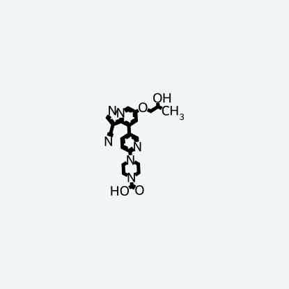 CC(O)COc1cc(-c2ccc(N3CCN(C(=O)O)CC3)nc2)c2c(C#N)cnn2c1